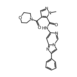 Cn1ncc(C(=O)N2CCOCC2)c1C(=O)Nc1cc2nc(-c3ccccc3)cn2cn1